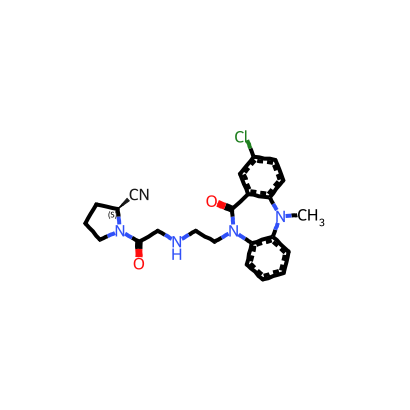 CN1c2ccc(Cl)cc2C(=O)N(CCNCC(=O)N2CCC[C@H]2C#N)c2ccccc21